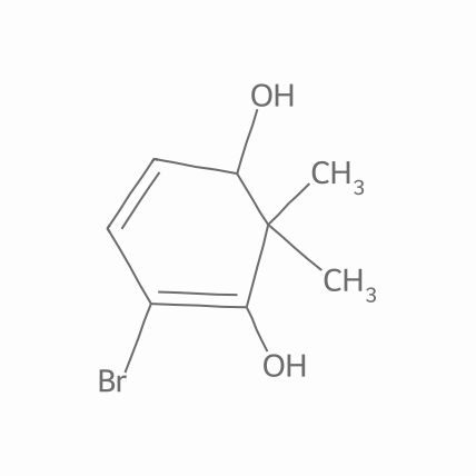 CC1(C)C(O)=C(Br)C=CC1O